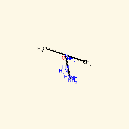 CCCCCCCCCCCCCCN(CCCCCCCCCCCC)C(=O)C(N)CCCCNCC(N)CCCNC(=N)N